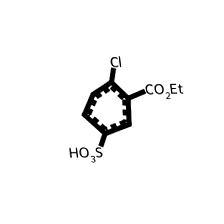 CCOC(=O)c1cc(S(=O)(=O)O)ccc1Cl